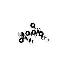 CCOCCn1c(NC2CCN([C@@H]3CCN(C(=O)C4(C(F)(F)F)C=CC=C(C(F)(F)F)C4)[C@H](Cc4ccccc4)C3)CC2)nc2ccccc21